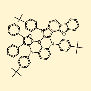 CC(C)(C)c1ccc(N2c3cccc4c3B(c3oc(-c5ccccc5)c(-c5ccccc5)c32)c2c(c3c5oc6ccccc6c5ccc3n2-c2ccc(C(C)(C)C)cc2)N4c2ccc(C(C)(C)C)cc2)cc1